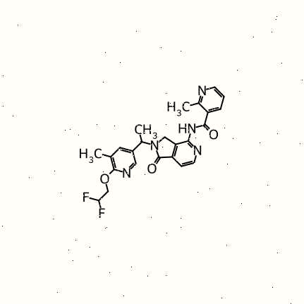 Cc1cc(C(C)N2Cc3c(ccnc3NC(=O)c3cccnc3C)C2=O)cnc1OCC(F)F